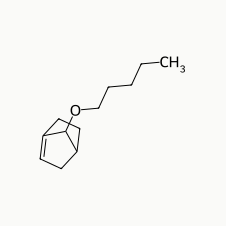 CCCCCOC1C2=CCC1CC2